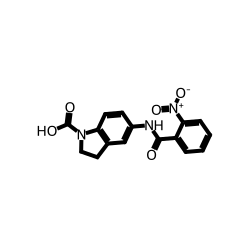 O=C(Nc1ccc2c(c1)CCN2C(=O)O)c1ccccc1[N+](=O)[O-]